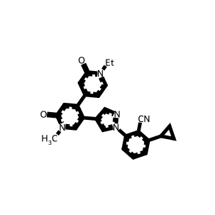 CCn1ccc(-c2cc(=O)n(C)cc2-c2cnn(-c3cccc(C4CC4)c3C#N)c2)cc1=O